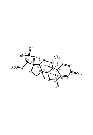 CCCC(=O)O[C@]1(C(=O)COC(C)=O)CC[C@H]2[C@@H]3C[C@H](F)C4=CC(=O)C=C[C@]4(C)[C@@]3(F)[C@@H](OC(C)=O)C[C@@]21C